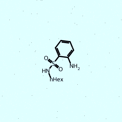 CCCCCCNS(=O)(=O)c1ccccc1N